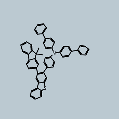 CC1(C)c2ccccc2-c2ccc(-c3cc4c(cc3-c3ccc(N(c5ccc(-c6ccccc6)cc5)c5ccc(-c6ccccc6)cc5)cc3)sc3ccccc34)cc21